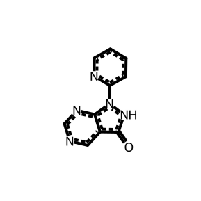 O=c1[nH]n(-c2ccccn2)c2ncncc12